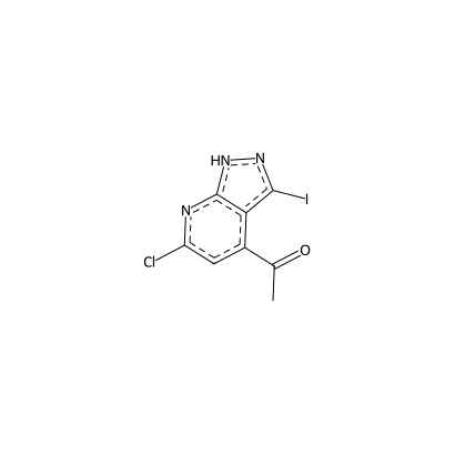 CC(=O)c1cc(Cl)nc2[nH]nc(I)c12